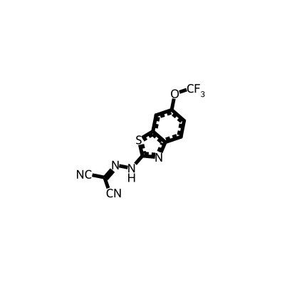 N#CC(C#N)=NNc1nc2ccc(OC(F)(F)F)cc2s1